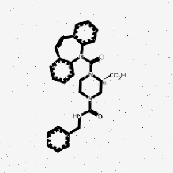 O=C(O)[C@@H]1CN(C(=O)NCc2ccccc2)CCN1C(=O)N1c2ccccc2C=Cc2ccccc21